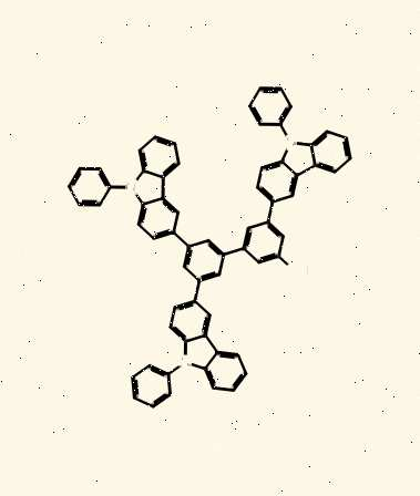 Cc1cc(-c2cc(-c3ccc4c(c3)c3ccccc3n4-c3ccccc3)cc(-c3ccc4c(c3)c3ccccc3n4-c3ccccc3)c2)cc(-c2ccc3c(c2)c2ccccc2n3-c2ccccc2)c1